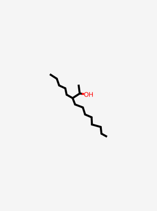 CCCCCCCCC(CCCCC)C(C)O